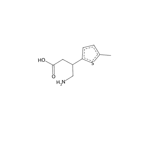 Cc1ccc(C(CN)CC(=O)O)s1